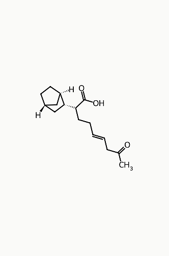 CC(=O)C/C=C/CCC(C(=O)O)[C@@H]1C[C@@H]2CC[C@@H]1C2